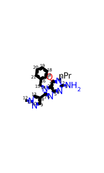 CCCn1c(N)nc2nc(-c3cnn(C)c3)n(Cc3ccccc3)c2c1=O